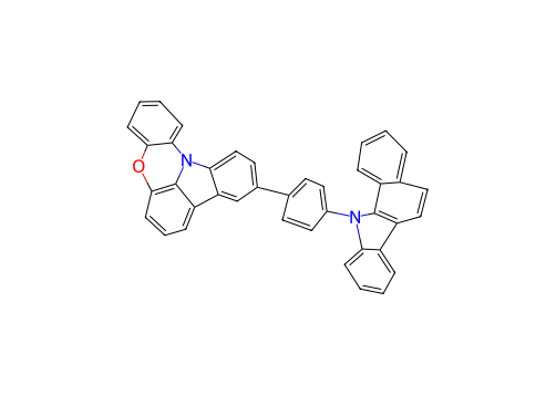 c1ccc2c(c1)Oc1cccc3c4cc(-c5ccc(-n6c7ccccc7c7ccc8ccccc8c76)cc5)ccc4n-2c13